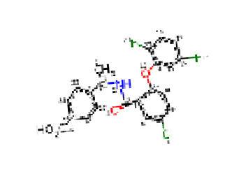 C[C@H](NC(=O)c1cc(Cl)ccc1Oc1cc(F)ccc1F)c1ccc(C(=O)O)cc1